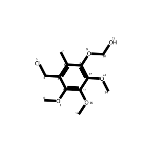 COc1c(CCl)c(C)c(OCO)c(OC)c1OC